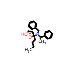 CCCCC(O)(CCO)N(Cc1ccccc1)[C@@H](C)c1ccccc1